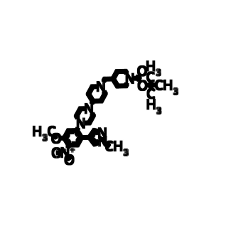 COc1cc(N2CCN(C3CCN(CC4CCN(C(=O)OC(C)(C)C)CC4)CC3)CC2)c(-c2cnn(C)c2)cc1[N+](=O)[O-]